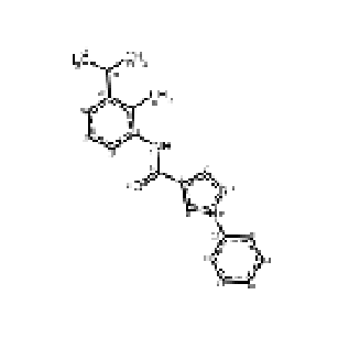 Cc1c(NC(=O)c2cnn(-c3ccccc3)c2)cccc1C(C)C